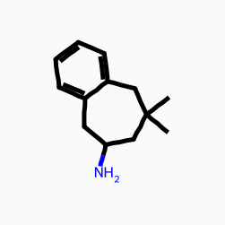 CC1(C)Cc2ccccc2CC(N)C1